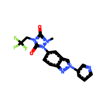 Cn1c(=O)n(CC(F)(F)F)c(=O)n1-c1ccc2nn(-c3cccnc3)cc2c1